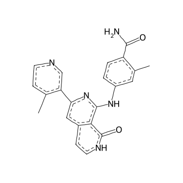 Cc1cc(Nc2nc(-c3cnccc3C)cc3cc[nH]c(=O)c23)ccc1C(N)=O